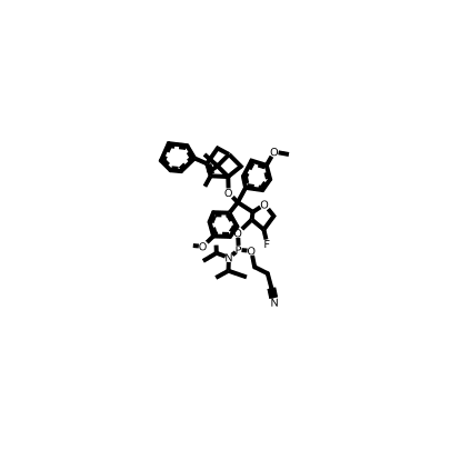 COc1ccc(C(OC23CC(CC(c4ccccc4)=C2C)C3(C)C)(c2ccc(OC)cc2)C2OCC(F)C2OP(OCCC#N)N(C(C)C)C(C)C)cc1